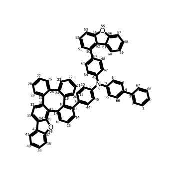 c1ccc(-c2ccc(N(c3ccc(-c4cccc5c4-c4ccccc4-c4ccccc4-c4ccc6c(oc7ccccc76)c4-5)cc3)c3ccc(-c4cccc5oc6ccccc6c45)cc3)cc2)cc1